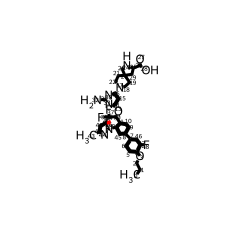 CCCOc1ccc(-c2ccc([C@@H](Oc3cc(N4CCC5(CC4)CNC(C(=O)O)C5)nc(N)n3)C(F)(F)F)c(-n3ccc(C)n3)c2)cc1F